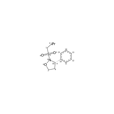 CC(C)CS(=O)(=O)N1OCC[C@H]1c1ccccc1